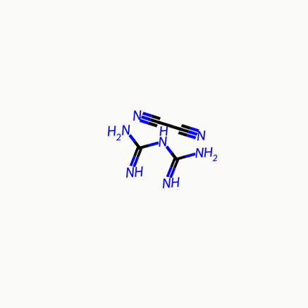 N#CC#N.N=C(N)NC(=N)N